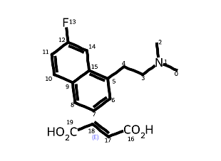 CN(C)CCc1cccc2ccc(F)cc12.O=C(O)/C=C/C(=O)O